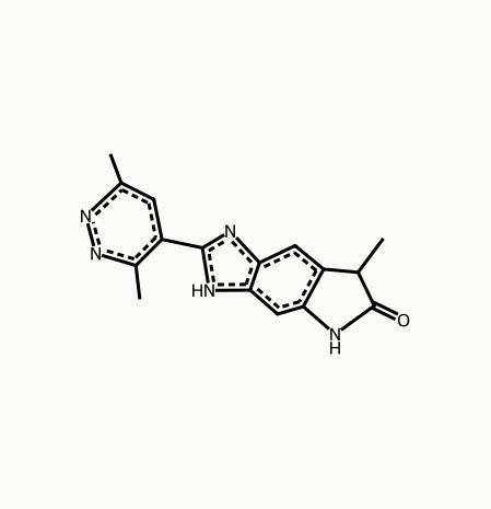 Cc1cc(-c2nc3cc4c(cc3[nH]2)NC(=O)C4C)c(C)nn1